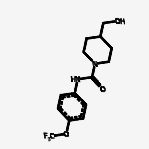 O=C(Nc1ccc(OC(F)(F)F)cc1)N1CCC(CO)CC1